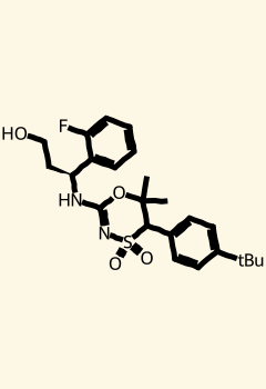 CC(C)(C)c1ccc(C2C(C)(C)OC(N[C@@H](CCO)c3ccccc3F)=NS2(=O)=O)cc1